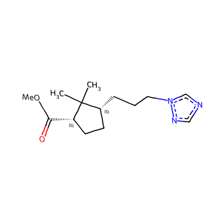 COC(=O)[C@H]1CC[C@@H](CCCn2cncn2)C1(C)C